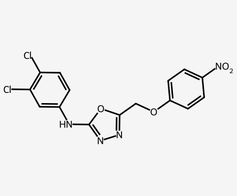 O=[N+]([O-])c1ccc(OCc2nnc(Nc3ccc(Cl)c(Cl)c3)o2)cc1